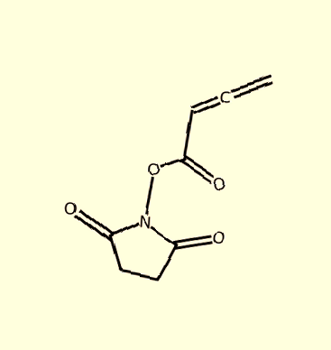 C=C=CC(=O)ON1C(=O)CCC1=O